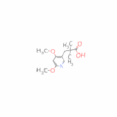 COc1cc(OC)c(CC(C)(C)C(=O)O)cn1